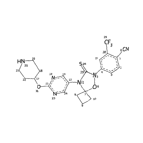 N#Cc1ccc(N2OC3(CCC3)N(c3cnc(OC4CCNCC4)nc3)C2=S)cc1C(F)(F)F